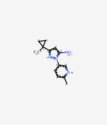 Cc1ccc(-n2nc(C3(C(F)(F)F)CC3)cc2N)cn1